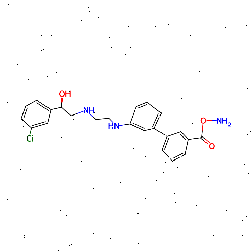 NOC(=O)c1cccc(-c2cccc(NCCNC[C@H](O)c3cccc(Cl)c3)c2)c1